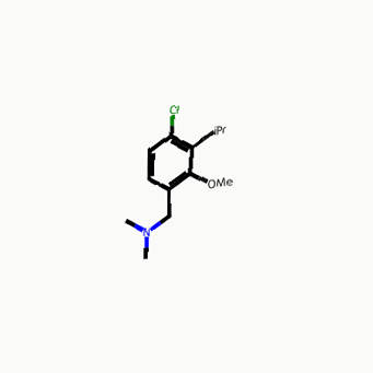 COc1c(CN(C)C)ccc(Cl)c1C(C)C